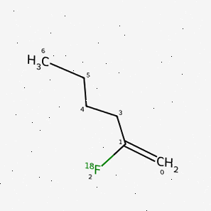 C=C([18F])CCCC